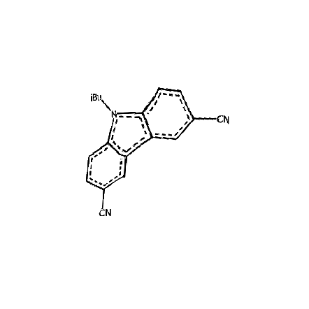 CCC(C)n1c2ccc(C#N)cc2c2cc(C#N)ccc21